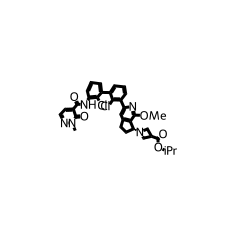 COc1nc(-c2cccc(-c3cccc(NC(=O)c4ccnn(C)c4=O)c3Cl)c2Cl)cc2c1[C@@H](N1CC(C(=O)OC(C)C)C1)CC2